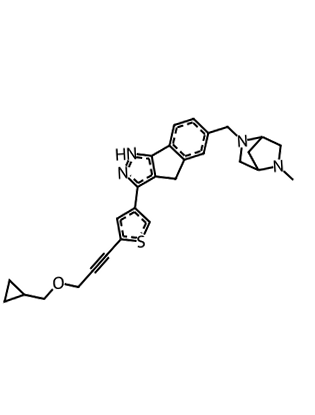 CN1CC2CC1CN2Cc1ccc2c(c1)Cc1c(-c3csc(C#CCOCC4CC4)c3)n[nH]c1-2